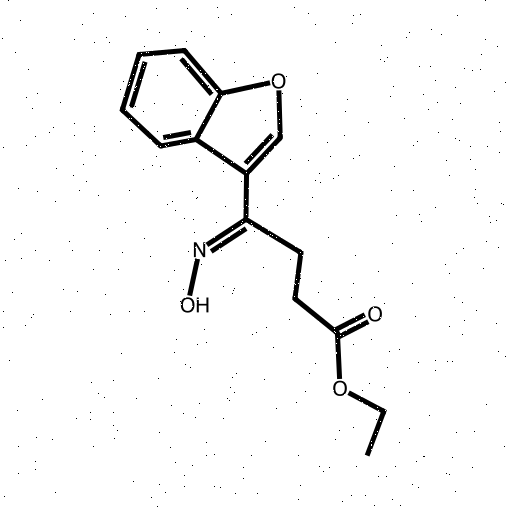 CCOC(=O)CCC(=NO)c1coc2ccccc12